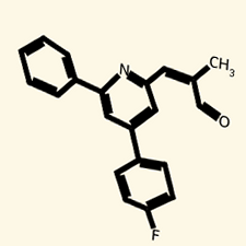 CC(C=O)=Cc1cc(-c2ccc(F)cc2)cc(-c2ccccc2)n1